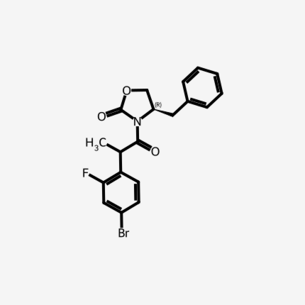 CC(C(=O)N1C(=O)OC[C@H]1Cc1ccccc1)c1ccc(Br)cc1F